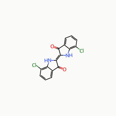 O=C1/C(=C2\Nc3c(Cl)cccc3C2=O)Nc2c(Cl)cccc21